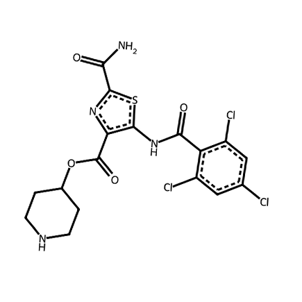 NC(=O)c1nc(C(=O)OC2CCNCC2)c(NC(=O)c2c(Cl)cc(Cl)cc2Cl)s1